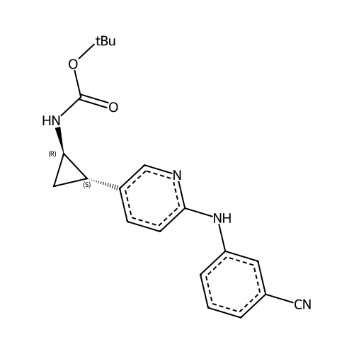 CC(C)(C)OC(=O)N[C@@H]1C[C@H]1c1ccc(Nc2cccc(C#N)c2)nc1